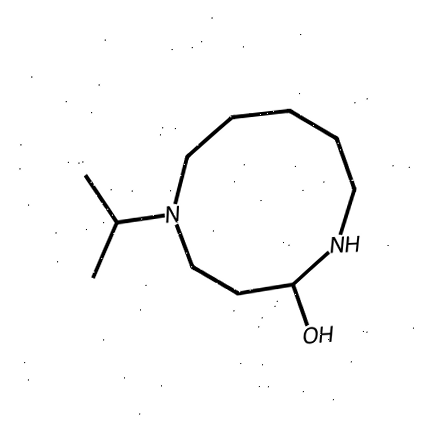 CC(C)N1CCCCCNC(O)CC1